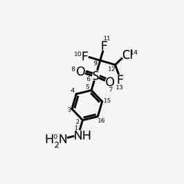 NNc1ccc(S(=O)(=O)C(F)(F)C(F)Cl)cc1